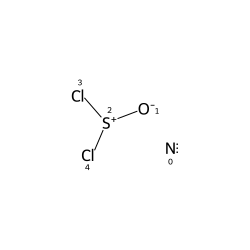 [N].[O-][S+](Cl)Cl